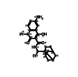 CCC(NC(=O)c1c(O)c2cc(N)ccc2n(C(C)C)c1=O)N1C2CC3CC(C2)CC1C3